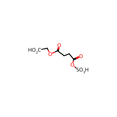 O=C(O)COC(=O)CCC(=O)OS(=O)(=O)O